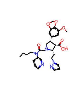 CCCCN(C(=O)CN1C[C@H](c2cc(OC)c3c(c2)OCO3)[C@@H](C(=O)O)[C@@H]1CCn1cccn1)c1cccnc1